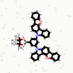 CC1(C)OB(c2cc(-n3c4ccccc4c4c5oc6ccccc6c5ccc43)cc(-n3c4ccccc4c4c5oc6ccccc6c5ccc43)c2)OC1(C)C